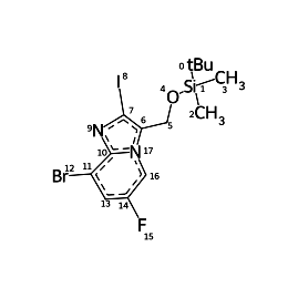 CC(C)(C)[Si](C)(C)OCc1c(I)nc2c(Br)cc(F)cn12